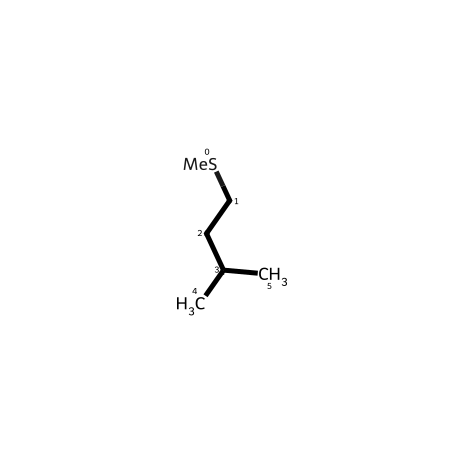 CSCC[C](C)C